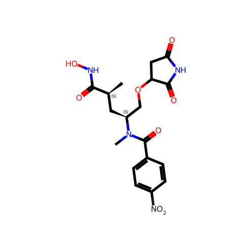 C[C@@H](C[C@@H](COC1CC(=O)NC1=O)N(C)C(=O)c1ccc([N+](=O)[O-])cc1)C(=O)NO